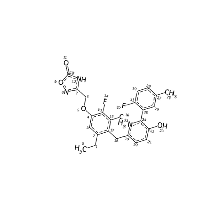 CCc1cc(OCc2noc(=O)[nH]2)c(F)c(C)c1Cc1ccc(O)c(-c2cc(C)ccc2F)n1